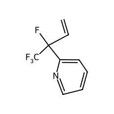 C=CC(F)(c1ccccn1)C(F)(F)F